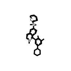 Cc1cc(C2CCCCC2)cc(-c2c3ccc([Si](C)(C)c4ccccc4)cc3cc[n+]2C)c1C